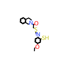 CCOc1ccc(/N=C/SCC(=O)N2CCc3ccccc3C2)c(S)c1